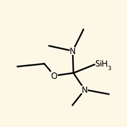 CCOC([SiH3])(N(C)C)N(C)C